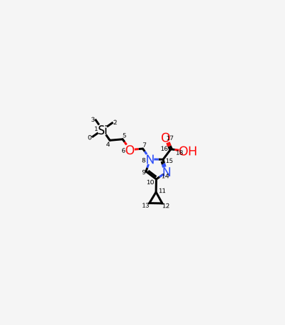 C[Si](C)(C)CCOCn1cc(C2CC2)nc1C(=O)O